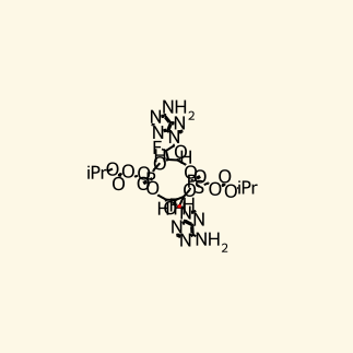 CC(C)OC(=O)OCOP1(=O)CO[C@H]2[C@@H](F)[C@H](n3cnc4c(N)ncnc43)O[C@@H]2COP(=O)(SCOC(=O)OC(C)C)O[C@@H]2[C@H](F)[C@@H](CO1)O[C@H]2n1cnc2c(N)ncnc21